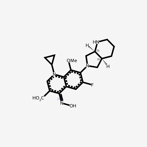 COc1c(N2C[C@@H]3CCCN[C@@H]3C2)c(F)cc2/c(=N\O)c(C(=O)O)cn(C3CC3)c12